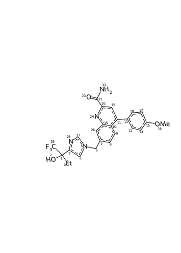 CCC(O)(c1cn(Cc2ccc3c(-c4ccc(OC)cc4)cc(C(N)=O)nc3c2)cn1)C(F)(F)F